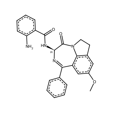 COc1cc2c3c(c1)C(c1ccccc1)=N[C@@H](NC(=O)c1ccccc1N)C(=O)N3CC2